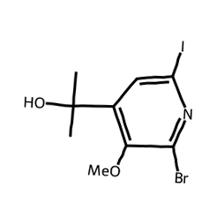 COc1c(C(C)(C)O)cc(I)nc1Br